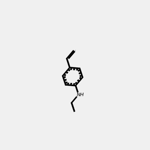 [CH]=Cc1ccc(NCC)cc1